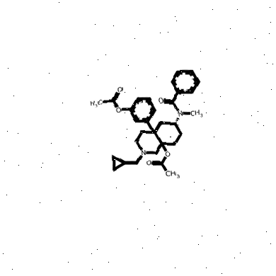 CC(=O)Oc1cccc(C23CCN(CC4CC4)CC2(OC(C)=O)CC[C@@H](N(C)C(=O)c2ccccc2)C3)c1